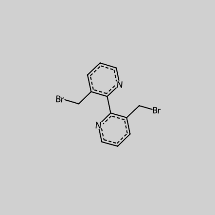 BrCc1cccnc1-c1ncccc1CBr